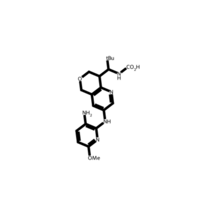 COc1ccc(N)c(Nc2cnc3c(c2)COCC3C(NC(=O)O)C(C)(C)C)n1